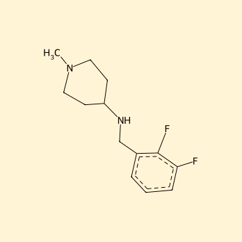 CN1CCC(NCc2cccc(F)c2F)CC1